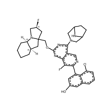 Oc1cc(-c2ncc3c(N4CC5CCC(C4)N5)nc(OCC45C[C@H](F)CN4[C@@H]4CCCC[C@@H]4C5)nc3c2F)c2c(Cl)cccc2c1